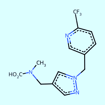 CN(Cc1cnn(Cc2ccc(C(F)(F)F)nc2)c1)C(=O)O